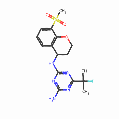 CC(C)(F)c1nc(N)nc(NC2CCOc3c2cccc3S(C)(=O)=O)n1